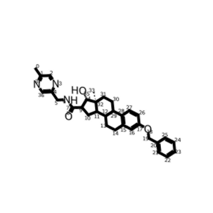 Cc1cnc(CNC(=O)C2CC3C4CCc5cc(OCc6ccccc6)ccc5C4CC[C@]3(C)[C@H]2O)cn1